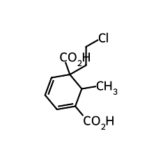 CC1C(C(=O)O)=CC=CC1(CCCl)C(=O)O